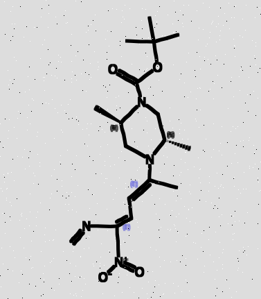 C=N/C(=C\C=C(/C)N1C[C@@H](C)N(C(=O)OC(C)(C)C)C[C@@H]1C)[N+](=O)[O-]